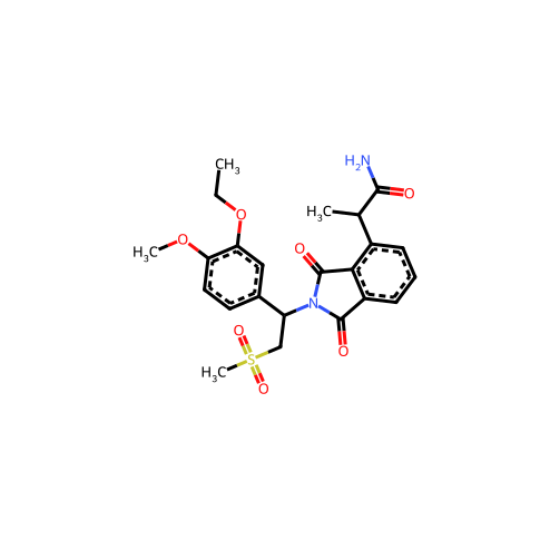 CCOc1cc(C(CS(C)(=O)=O)N2C(=O)c3cccc(C(C)C(N)=O)c3C2=O)ccc1OC